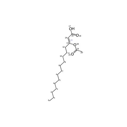 CCCCCCCCCCCCC/C(=C/C(=O)O)OC(C)=O